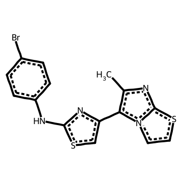 Cc1nc2sccn2c1-c1csc(Nc2ccc(Br)cc2)n1